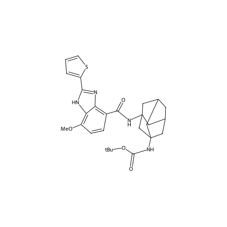 COc1ccc(C(=O)NC23CC4CC(CC(NC(=O)OC(C)(C)C)(C4)C2)C3)c2nc(-c3cccs3)[nH]c12